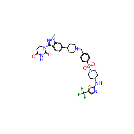 Cn1nc(N2CCC(=O)NC2=O)c2ccc(C3CCN(Cc4ccc(S(=O)(=O)N5CCC(Nc6ncc(C(F)(F)F)s6)CC5)cc4)CC3)cc21